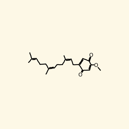 COC1=CC(=O)C(CC=C(C)CCC=C(C)CCC=C(C)C)=CC1=O